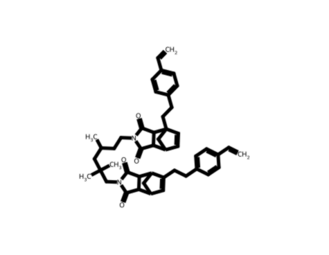 C=Cc1ccc(CCC2=CC3CC2C2C(=O)N(CC(C)(C)CC(C)CCN4C(=O)C5C6C=CC(CCc7ccc(C=C)cc7)(C6)C5C4=O)C(=O)C32)cc1